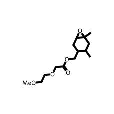 COCCOCC(=O)OCC1CC2OC2(C)CC1C